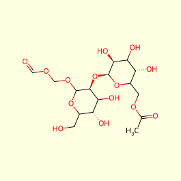 CC(=O)OCC1O[C@@H](O[C@@H]2C(OCOC=O)OC(CO)[C@@H](O)C2O)[C@@H](O)C(O)[C@@H]1O